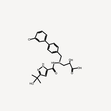 CC(C)(O)c1cc(C(=O)NN(Cc2ccc(-c3cccc(Cl)c3)cc2)C[C@@H](O)C(=O)O)[nH]n1